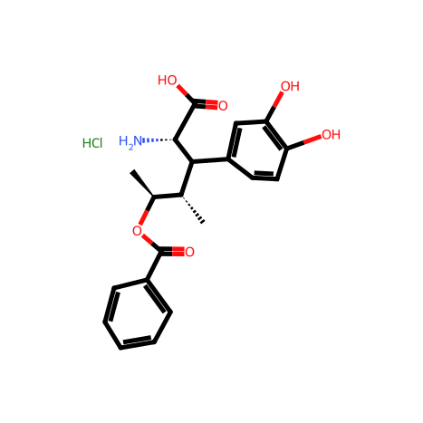 C[C@H](OC(=O)c1ccccc1)[C@@H](C)C(c1ccc(O)c(O)c1)[C@H](N)C(=O)O.Cl